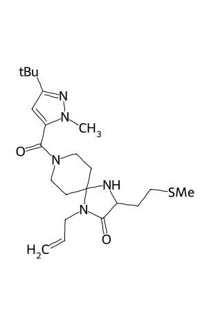 C=CCN1C(=O)C(CCSC)NC12CCN(C(=O)c1cc(C(C)(C)C)nn1C)CC2